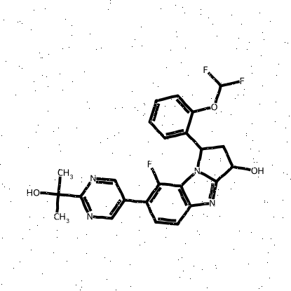 CC(C)(O)c1ncc(-c2ccc3nc4n(c3c2F)C(c2ccccc2OC(F)F)CC4O)cn1